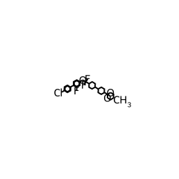 CC1COC(C2CCC(C3CCC(C(F)(F)Oc4ccc(-c5ccc(Cl)cc5)c(F)c4)CC3)CC2)OC1